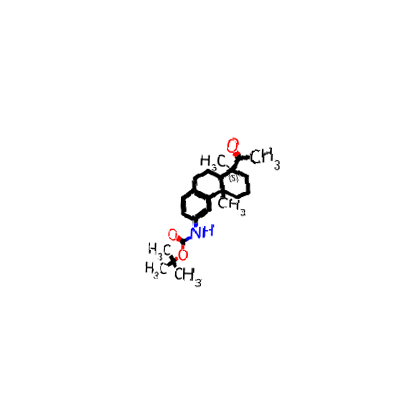 CC(=O)[C@@]1(C)CCCC2(C)c3cc(NC(=O)OC(C)(C)C)ccc3CCC21